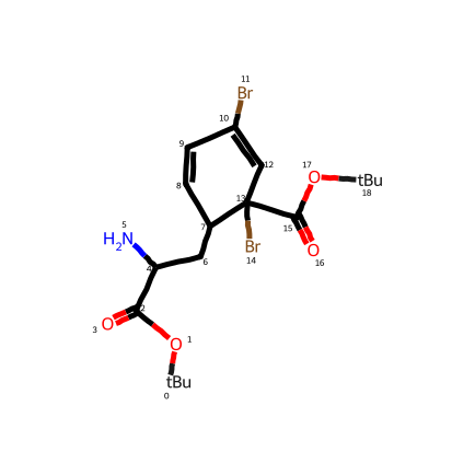 CC(C)(C)OC(=O)C(N)CC1C=CC(Br)=CC1(Br)C(=O)OC(C)(C)C